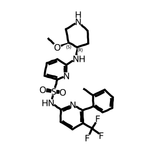 CO[C@H]1CNCC[C@H]1Nc1cccc(S(=O)(=O)Nc2ccc(C(F)(F)F)c(-c3ccccc3C)n2)n1